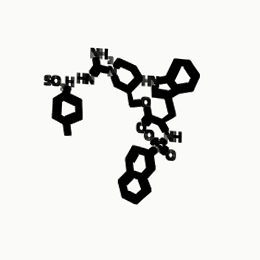 Cc1ccc(S(=O)(=O)O)cc1.N=C(N)N1CCC[C@@H](COC(=O)[C@@H](Cc2c[nH]c3ccccc23)NS(=O)(=O)c2ccc3ccccc3c2)C1